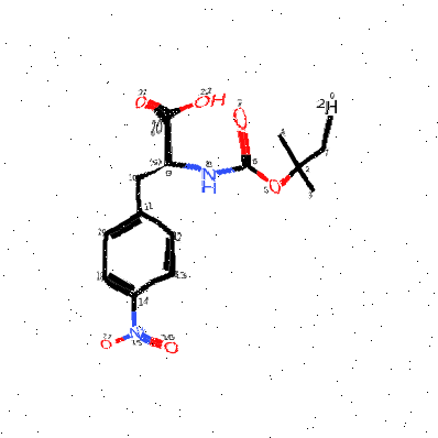 [2H]CC(C)(C)OC(=O)N[C@@H](Cc1ccc([N+](=O)[O-])cc1)C(=O)O